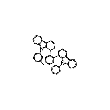 Cc1cccc(-n2c3c(c4ccccc42)C=CCC3c2ccccc2-c2cccc3c4ccccc4n(-c4ccccc4)c23)c1